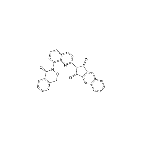 O=C1c2cc3ccccc3cc2C(=O)C1c1ccc2cccc(N3OCc4ccccc4C3=O)c2n1